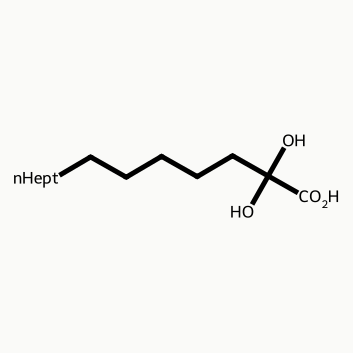 CCCCCCCCCCCCC(O)(O)C(=O)O